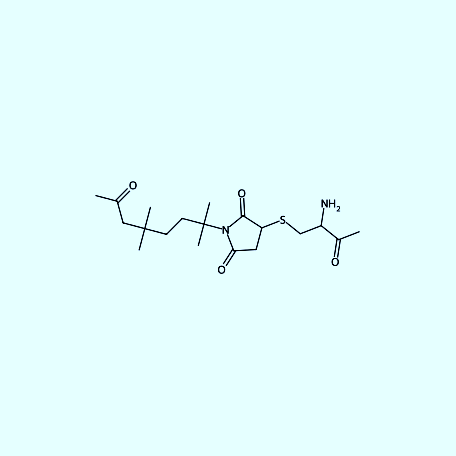 CC(=O)CC(C)(C)CCC(C)(C)N1C(=O)CC(SCC(N)C(C)=O)C1=O